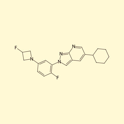 Fc1ccc(N2CC(F)C2)cc1-n1cc2cc(C3CCCCC3)cnc2n1